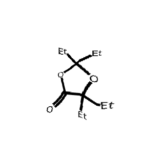 CCC1(CC)OC(=O)C(CC)(CC)O1